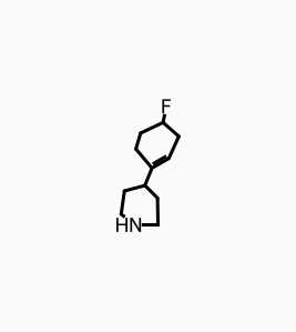 FC1CC=C(C2CCNCC2)CC1